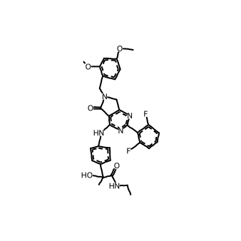 CCNC(=O)C(C)(O)c1ccc(Nc2nc(-c3c(F)cccc3F)nc3c2C(=O)N(Cc2ccc(OC)cc2OC)C3)cc1